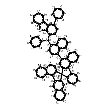 c1ccc(-c2ccc(N(c3ccccc3)c3ccc(-c4cc5c(c6ccccc46)-c4ccccc4C54c5cc6ccccc6cc5-c5c4ccc4ccccc54)c4ccccc34)c3sc4ccccc4c23)cc1